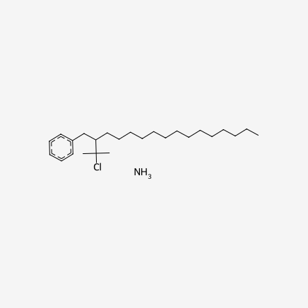 CCCCCCCCCCCCCCC(Cc1ccccc1)C(C)(C)Cl.N